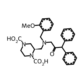 COc1ccccc1CN(CC(=O)C(c1ccccc1)c1ccccc1)C[C@@H]1CN(C(=O)O)CCN1C(=O)O